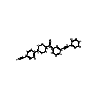 N#Cc1ccc(N2CCN(C(=O)c3cccc(C#Cc4ccccn4)c3)CC2)nc1